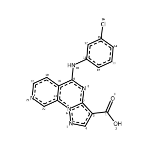 O=C(O)c1cnn2c1nc(Nc1cccc(Cl)c1)c1ccncc12